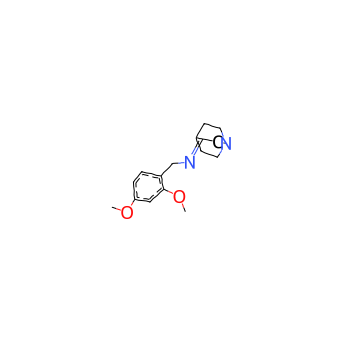 COc1ccc(C/N=C2/CN3CCC2CC3)c(OC)c1